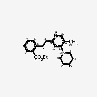 CCOC(=O)c1ccccc1CCc1cc(N2CCCCC2)c(C)cn1